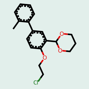 Cc1ccccc1-c1ccc(OCCCl)c(C2OCCCO2)c1